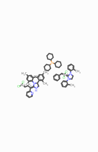 C1CCC(P(C2CCCCC2)C2CCCCC2)CC1.Cc1cc(C)c(C2CNC(=C(C[CH]=[Ru-2]([Cl])[Cl])c3ccccn3)N2c2c(C)cc(C)cc2C)c(C)c1.Cc1ccccc1N1CCN(c2ccccc2C)[C]1=[Ru-4]([Cl])([Cl])=[CH]c1ccccc1